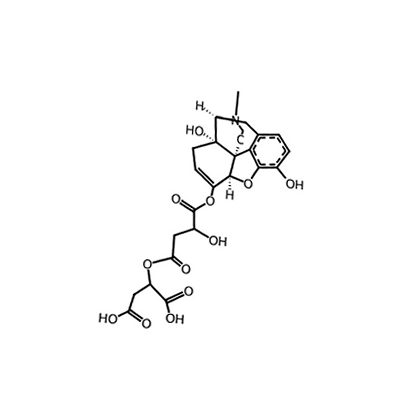 CN1CC[C@]23c4c5ccc(O)c4O[C@H]2C(OC(=O)C(O)CC(=O)OC(CC(=O)O)C(=O)O)=CC[C@@]3(O)[C@H]1C5